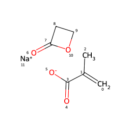 C=C(C)C(=O)[O-].O=C1CCO1.[Na+]